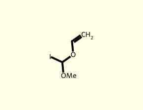 C=COC(I)OC